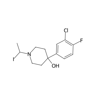 CC(I)N1CCC(O)(c2ccc(F)c(Cl)c2)CC1